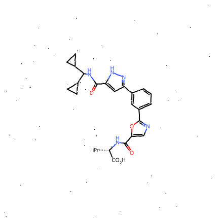 CC(C)[C@H](NC(=O)c1cnc(-c2cccc(-c3cc(C(=O)NC(C4CC4)C4CC4)[nH]n3)c2)o1)C(=O)O